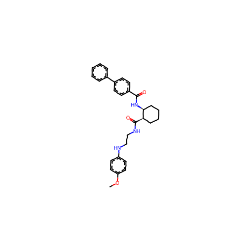 COc1ccc(NCCNC(=O)[C@@H]2CCCC[C@@H]2NC(=O)c2ccc(-c3ccccc3)cc2)cc1